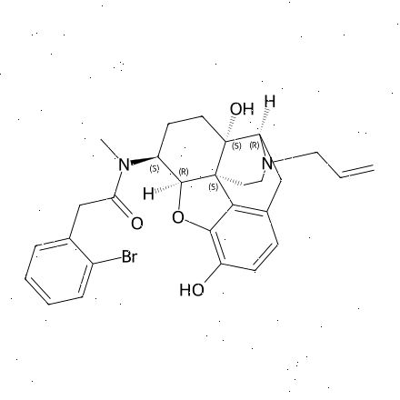 C=CCN1CC[C@]23c4c5ccc(O)c4O[C@H]2[C@@H](N(C)C(=O)Cc2ccccc2Br)CC[C@@]3(O)[C@H]1C5